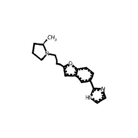 C[C@@H]1CCCN1CCc1cc2cc(-c3ncc[nH]3)ccc2o1